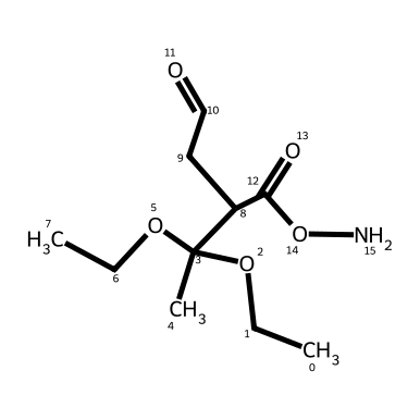 CCOC(C)(OCC)C(CC=O)C(=O)ON